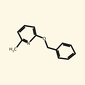 Cc1cccc(OCc2ccccc2)n1